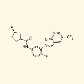 O=C(Nc1ccc(F)c(-n2cc3cc(C(F)(F)F)cnc3n2)c1)N1CC[C@@H](F)C1